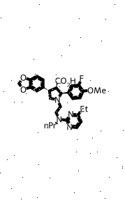 CCCN(CCN1C[C@H](c2ccc3c(c2)OCO3)[C@H](C(=O)O)[C@H]1c1ccc(OC)c(F)c1)c1nccc(CC)n1